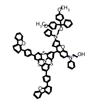 COc1ccc(C(OCCN(c2ccccc2)c2ccc3c(-c4cc5c6c(c4)Sc4cc(-c7ccc(-c8cccc9c8oc8ccccc89)cc7)cc7c4N6c4c(cc(-c6ccc(-c8cccc9c8oc8ccccc89)cc6)cc4S5)S7)c4cc/c(=[N+](/CCO)c5ccccc5)cc-4oc3c2)(c2ccccc2)c2ccc(OC)cc2)cc1